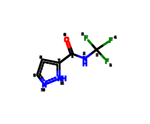 O=C(NC(F)(F)F)c1ccn[nH]1